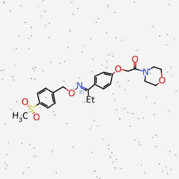 CC/C(=N\OCc1ccc(S(C)(=O)=O)cc1)c1ccc(OCC(=O)N2CCOCC2)cc1